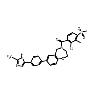 CCc1c(C(=O)N2CCOc3ccc(-c4ccc(-c5cnc(C(F)(F)F)[nH]5)cc4)cc3C2)ccc(S(C)(=O)=O)c1F